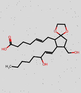 CCCCCC(O)C=CC1C(CO)CC2(OCCO2)C1CC=CCCCC(=O)O